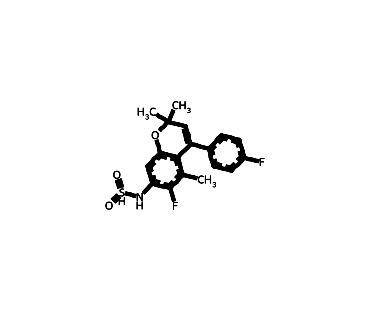 Cc1c(F)c(N[SH](=O)=O)cc2c1C(c1ccc(F)cc1)=CC(C)(C)O2